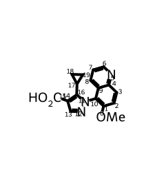 COc1ccc2ncccc2c1-n1ncc(C(=O)O)c1C1CC1